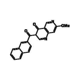 COc1cc2c(cn1)C(=O)C(C(=O)c1ccc3ccccc3c1)C=N2